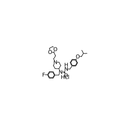 CC(C)COc1ccc(CNC(=O)N(Cc2ccc(F)cc2)C2CCN(CCC3OCCO3)CC2)cc1.Cl